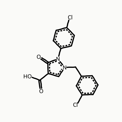 O=C(O)c1cn(Cc2cccc(Cl)c2)n(-c2ccc(Cl)cc2)c1=O